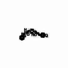 COc1ccc(CCC(O)CN2CCN(CC(=O)Nc3nc4ccccc4s3)CC2)cc1